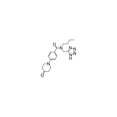 CCCCN(Cc1nnn[nH]1)C(=O)c1ccc(N2CCC(=O)CC2)cc1